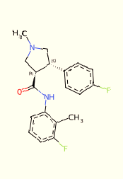 Cc1c(F)cccc1NC(=O)[C@H]1CN(C)C[C@@H]1c1ccc(F)cc1